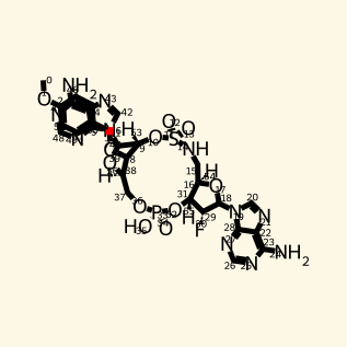 COc1ccc(COC2[C@H]3OS(=O)(=O)NC[C@H]4OC(n5cnc6c(N)ncnc65)[C@H](F)[C@@H]4OP(=O)(O)OC[C@H]2OC3n2cnc3c(N)ncnc32)cc1